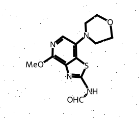 COc1ncc(N2CCOCC2)c2sc(NC=O)nc12